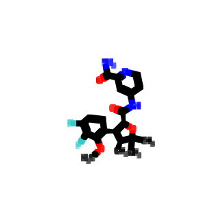 COc1c([C@H]2[C@@H](C(=O)Nc3ccnc(C(N)=O)c3)OC(C)(C)[C@H]2C)ccc(F)c1F